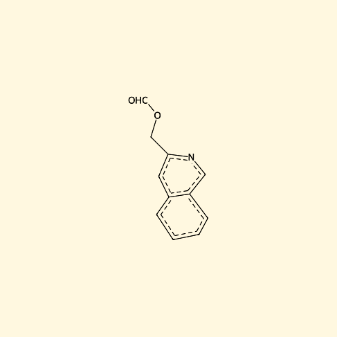 O=COCc1cc2ccccc2cn1